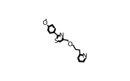 COc1ccc(-c2nc(COCCCc3ccccn3)cs2)cc1